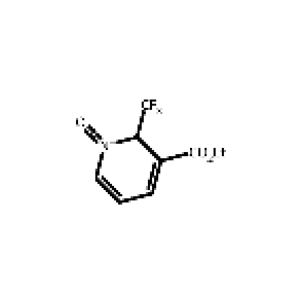 CCOC(=O)C1=CC=C[N+](=O)C1C(F)(F)F